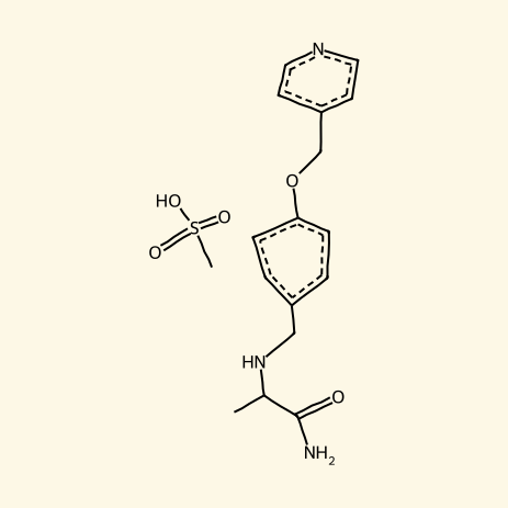 CC(NCc1ccc(OCc2ccncc2)cc1)C(N)=O.CS(=O)(=O)O